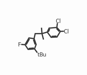 CC(C)(C)c1cc(F)cc(CC(C)(C)c2ccc(Cl)c(Cl)c2)c1